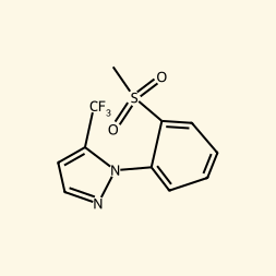 CS(=O)(=O)c1ccccc1-n1nccc1C(F)(F)F